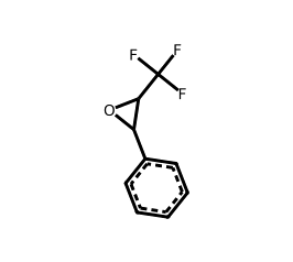 FC(F)(F)C1OC1c1ccccc1